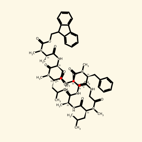 CC(C)C[C@H](NC(=O)[C@H](C)N(C)C(=O)OCC1c2ccccc2-c2ccccc21)C(=O)N(C)[C@@H](CC(C)C)C(=O)N[C@@H](C)C(=O)N(C)[C@@H](Cc1ccccc1)C(=O)NCC(=O)N(C)[C@@H](CC(C)C)C(=O)N[C@@H](C)C(=O)N[C@@H](C)CO